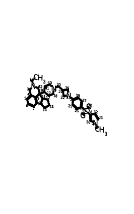 CCN1Cc2ccccc2C(C2CCCC2)(C2CCN(CC3CN(c4ccc(S(=O)(=O)c5ccn(C)c5)cc4)C3)CC2)C1